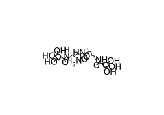 C[C@H](CCCCNC(=O)c1cc(O)c(O)c(O)c1)C(=O)N[C@H](CCCCNC(=O)c1cc(O)c(O)c(O)c1)C(N)=O